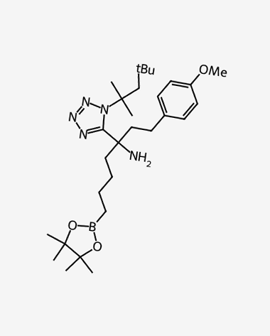 COc1ccc(CCC(N)(CCCCB2OC(C)(C)C(C)(C)O2)c2nnnn2C(C)(C)CC(C)(C)C)cc1